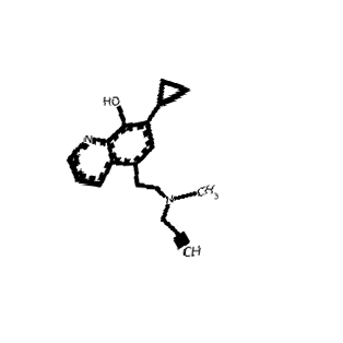 C#CCN(C)CCc1cc(C2CC2)c(O)c2ncccc12